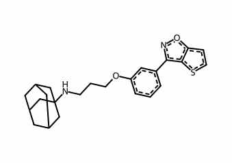 c1cc(OCCCNC23CC4CC(CC(C4)C2)C3)cc(-c2noc3ccsc23)c1